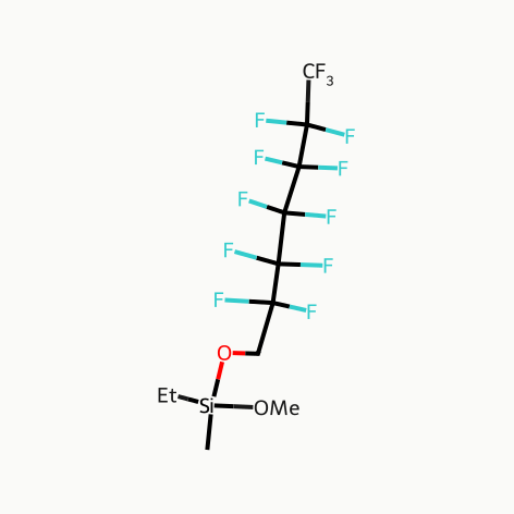 CC[Si](C)(OC)OCC(F)(F)C(F)(F)C(F)(F)C(F)(F)C(F)(F)C(F)(F)F